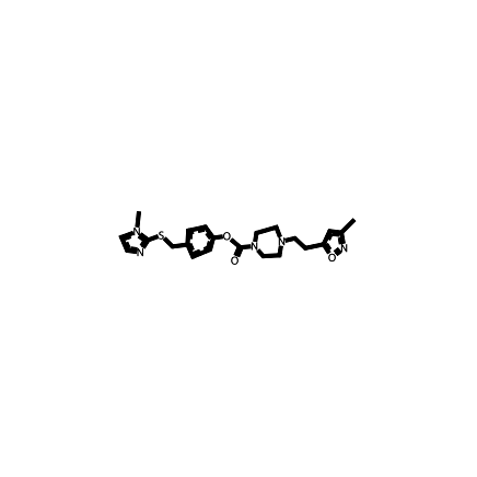 Cc1cc(CCN2CCN(C(=O)Oc3ccc(CSc4nccn4C)cc3)CC2)on1